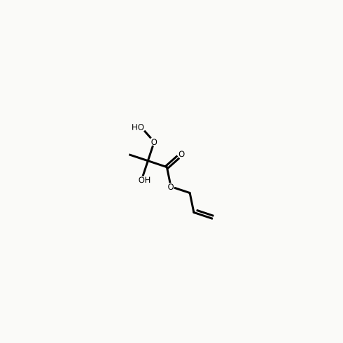 C=CCOC(=O)C(C)(O)OO